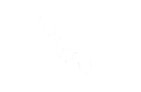 C=CC1CCC(CCc2cc3oc4cc(OCC)c(F)c(F)c4c3c(F)c2F)CC1